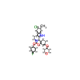 CC1C=c2[nH]c3c(c2=CC1Cl)CCN(C(=O)Oc1ccc(F)cc1)[C@H]3C1=CC=C(OC2CCOCC2)CC1